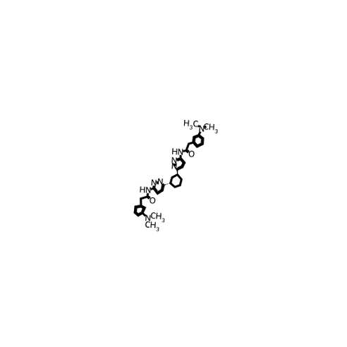 CN(C)c1cccc(CC(=O)Nc2ccc([C@H]3CCC[C@H](c4ccc(NC(=O)Cc5cccc(N(C)C)c5)nn4)C3)nn2)c1